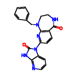 O=C1NCCN(Cc2ccccc2)c2nc(-n3c(=O)[nH]c4ncccc43)ccc21